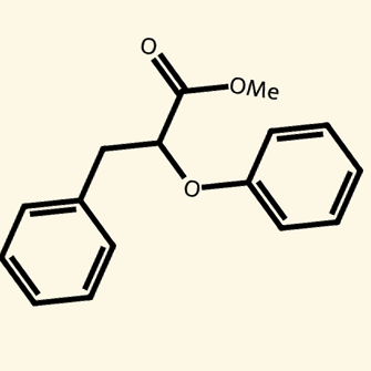 COC(=O)C(Cc1ccccc1)Oc1ccccc1